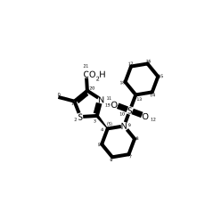 Cc1sc([C@@H]2CCCCN2S(=O)(=O)C2CCCCC2)nc1C(=O)O